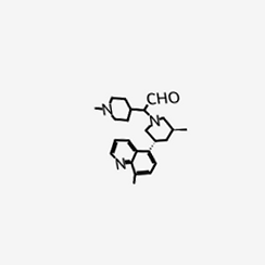 Cc1ccc([C@H]2C[C@H](C)CN(C(C=O)C3CCN(C)CC3)C2)c2cccnc12